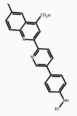 CCNc1ccc(-c2ccc(-c3cc(C(=O)O)c4cc(I)ccc4n3)nc2)cc1